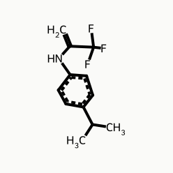 C=C(Nc1ccc(C(C)C)cc1)C(F)(F)F